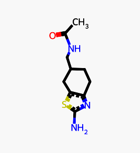 CC(=O)NCC1CCc2nc(N)sc2C1